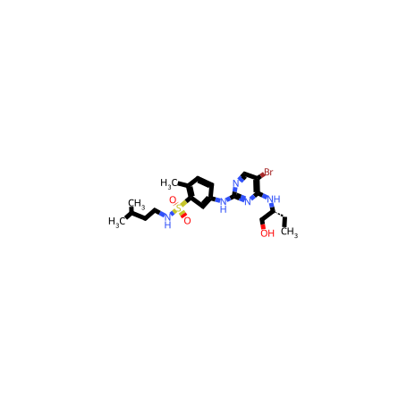 CC[C@H](CO)Nc1nc(Nc2ccc(C)c(S(=O)(=O)NCCC(C)C)c2)ncc1Br